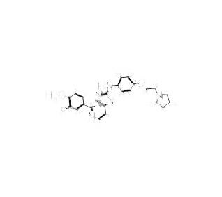 Cc1ccc(-c2nccc3nc(Nc4ccc(OCCN5CCCC5)cc4)nn23)cc1F